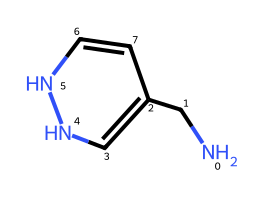 NCC1=CNNC=C1